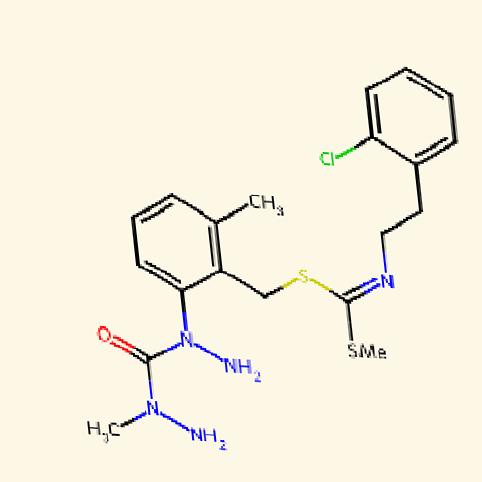 CSC(=NCCc1ccccc1Cl)SCc1c(C)cccc1N(N)C(=O)N(C)N